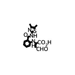 Cc1nc(NC(=O)c2ccccc2NC(CC=O)C(=O)O)sc1C